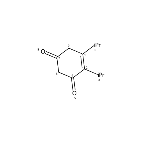 CC(C)C1=C(C(C)C)C(=O)CC(=O)C1